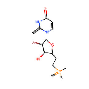 C=C1NC(=O)C=CN1[C@@H]1OC(CCP(=C)(C)C)[C@@H](O)[C@H]1Br